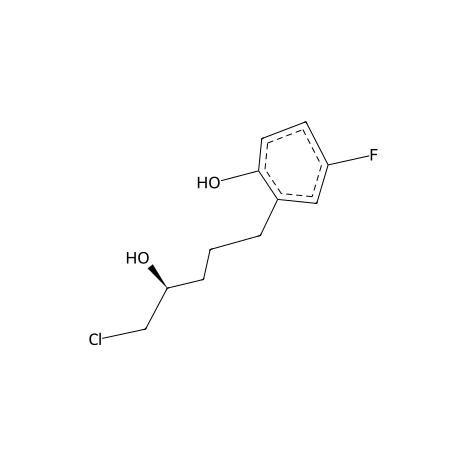 Oc1ccc(F)cc1CCC[C@H](O)CCl